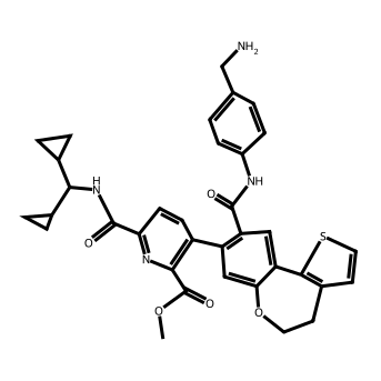 COC(=O)c1nc(C(=O)NC(C2CC2)C2CC2)ccc1-c1cc2c(cc1C(=O)Nc1ccc(CN)cc1)-c1sccc1CCO2